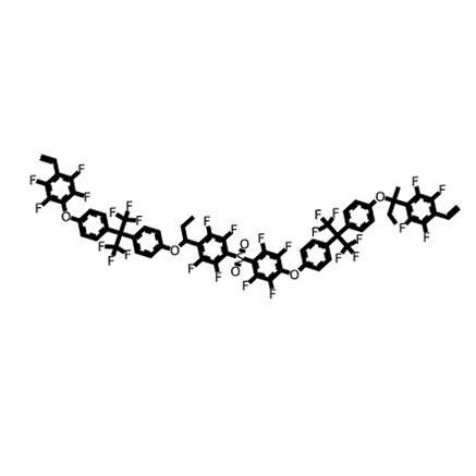 C=Cc1c(F)c(F)c(Oc2ccc(C(c3ccc(OC(CC)c4c(F)c(F)c(S(=O)(=O)c5c(F)c(F)c(Oc6ccc(C(c7ccc(OC(C)(CC)c8c(F)c(F)c(C=C)c(F)c8F)cc7)(C(F)(F)F)C(F)(F)F)cc6)c(F)c5F)c(F)c4F)cc3)(C(F)(F)F)C(F)(F)F)cc2)c(F)c1F